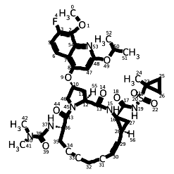 COc1c(F)ccc2c(O[C@@H]3C[C@H]4C(=O)N[C@]5(C(=O)NS(=O)(=O)C6(C)CC6)C[C@H]5C=CCCCCC[C@H](NC(=O)N(C)C)C(=O)N4C3)cc(OC(C)C)nc12